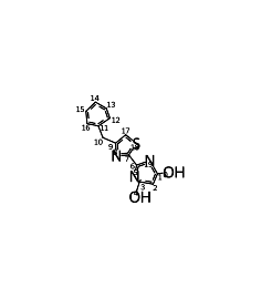 Oc1cc(O)nc(-c2nc(Cc3ccccc3)cs2)n1